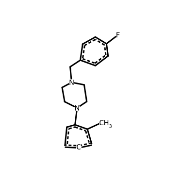 Cc1ccccc1N1CCN(Cc2ccc(F)cc2)CC1